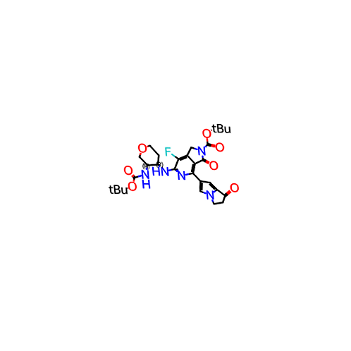 CC(C)(C)OC(=O)N[C@H]1COCC[C@H]1Nc1nc(-c2cc3n(c2)CCC3=O)c2c(c1F)CN(C(=O)OC(C)(C)C)C2=O